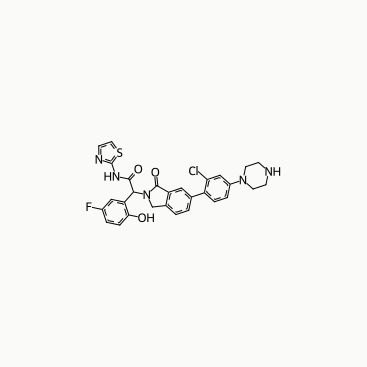 O=C(Nc1nccs1)C(c1cc(F)ccc1O)N1Cc2ccc(-c3ccc(N4CCNCC4)cc3Cl)cc2C1=O